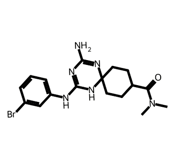 CN(C)C(=O)C1CCC2(CC1)N=C(N)N=C(Nc1cccc(Br)c1)N2